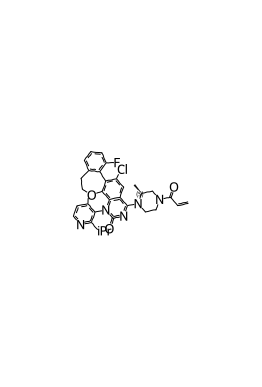 C=CC(=O)N1CCN(c2nc(=O)n(-c3c(C)ccnc3C(C)C)c3c4c(c(Cl)cc23)-c2c(F)cccc2CCO4)[C@@H](C)C1